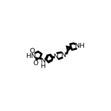 O=C1CCC(Nc2ccc(N3CCN(CC4CC45CCNCC5)CC3)cc2)C(=O)N1